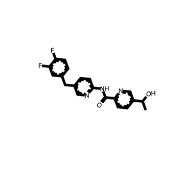 CC(O)c1ccc(C(=O)Nc2ccc(Cc3ccc(F)c(F)c3)cn2)nc1